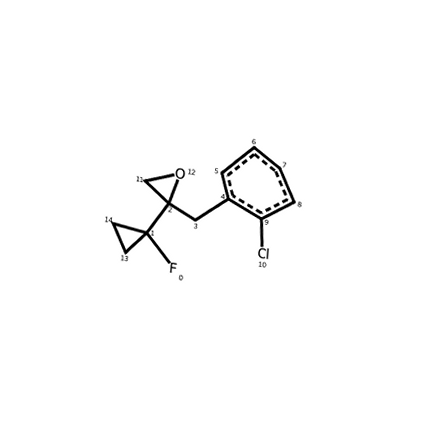 FC1(C2(Cc3ccccc3Cl)CO2)CC1